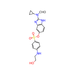 O=CN(c1nc2cc(OS(=O)(=O)c3ccc(NCCO)cc3)ccc2[nH]1)C1CC1